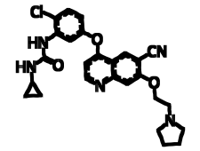 N#Cc1cc2c(Oc3ccc(Cl)c(NC(=O)NC4CC4)c3)ccnc2cc1OCCN1CCCC1